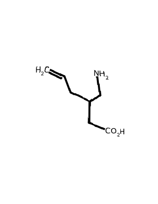 C=CCC(CN)CC(=O)O